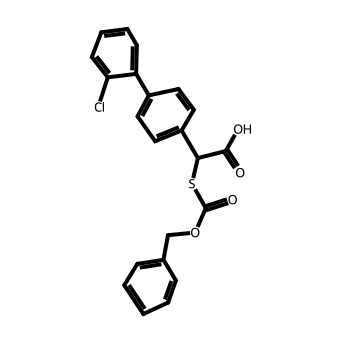 O=C(OCc1ccccc1)SC(C(=O)O)c1ccc(-c2ccccc2Cl)cc1